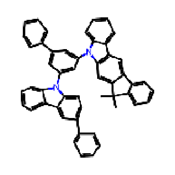 CC1(C)c2ccccc2-c2cc3c4ccccc4n(-c4cc(-c5ccccc5)cc(-n5c6ccccc6c6cc(-c7ccccc7)ccc65)c4)c3cc21